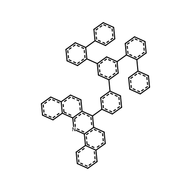 c1ccc(-c2ccccc2-c2cc(-c3cccc(-c4c5ccc6ccccc6c5nc5c4ccc4ccccc45)c3)cc(-c3ccccc3-c3ccccc3)c2)cc1